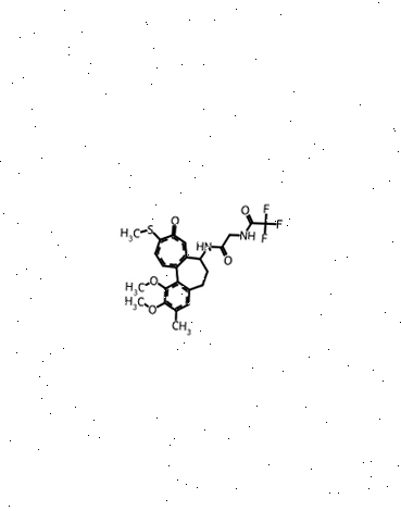 COc1c(C)cc2c(c1OC)-c1ccc(SC)c(=O)cc1C(NC(=O)CNC(=O)C(F)(F)F)CC2